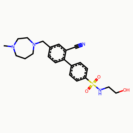 CN1CCCN(Cc2ccc(-c3ccc(S(=O)(=O)NCCO)cc3)c(C#N)c2)CC1